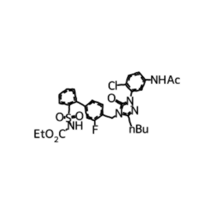 CCCCc1nn(-c2cc(NC(C)=O)ccc2Cl)c(=O)n1Cc1ccc(-c2ccccc2S(=O)(=O)NC(=O)OCC)cc1F